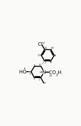 CC1=C[C@@H](O)C[C@H](c2cccc(Cl)c2)N1C(=O)O